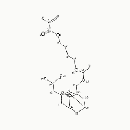 C=C(C)C(=O)OCCCCOC(C)OCC12CC3CC(C1)CC(CC(F)F)(C3)C2